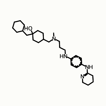 CN(CCCNc1ccc(NC2=NCCCC2)cc1)CC1CCC(O)(CC2CCCCC2)CC1